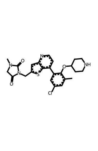 Cc1cc(Cl)cc(-c2ccnc3cc(CN4C(=O)CN(C)C4=O)sc23)c1OC1CCNCC1